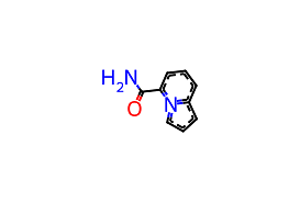 NC(=O)c1cccc2cccn12